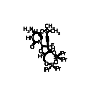 CC(C)[Si]1(C(C)C)OC[C@H]2O[C@@H](N3C=CC(N)NC3=O)[C@@](F)(C#C[Si](C)(C)C)[C@@H]2O[Si](C(C)C)(C(C)C)O1